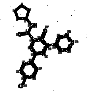 O=C(NC1CCCC1)c1cc(-c2ccc(Cl)cc2)nn(-c2ccnnc2)c1=O